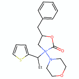 CCC(c1cccs1)[N+]1(N2CCOCC2)CC(Cc2ccccc2)OC1=O